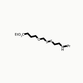 CCOC(=O)CCCOCSSCCNC(C)C